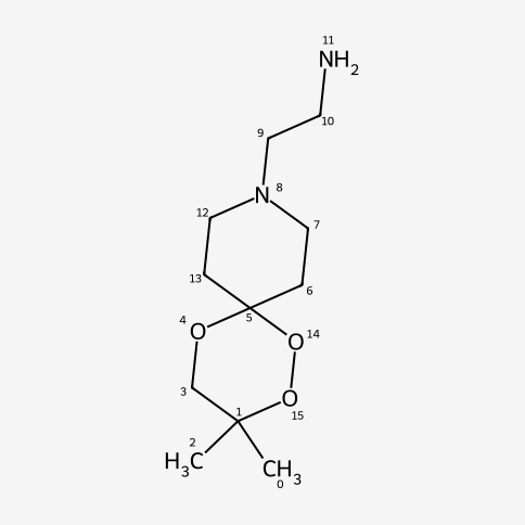 CC1(C)COC2(CCN(CCN)CC2)OO1